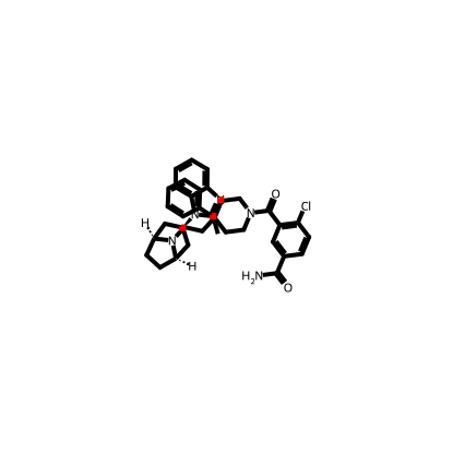 Cc1nc2ccccc2n1[C@H]1C[C@H]2CC[C@@H](C1)N2CCC1(c2ccccc2)CCN(C(=O)c2cc(C(N)=O)ccc2Cl)CC1